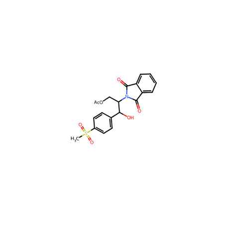 CC(=O)OCC(C(O)c1ccc(S(C)(=O)=O)cc1)N1C(=O)c2ccccc2C1=O